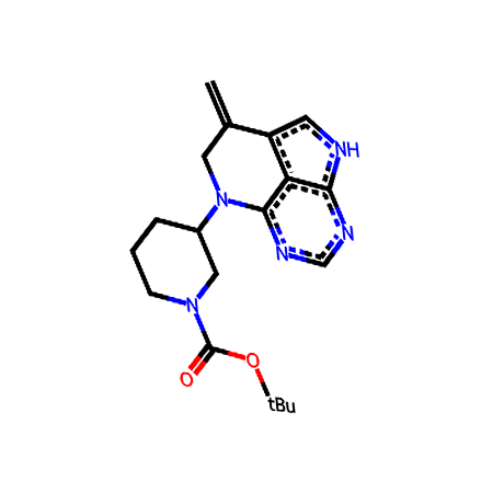 C=C1CN(C2CCCN(C(=O)OC(C)(C)C)C2)c2ncnc3[nH]cc1c23